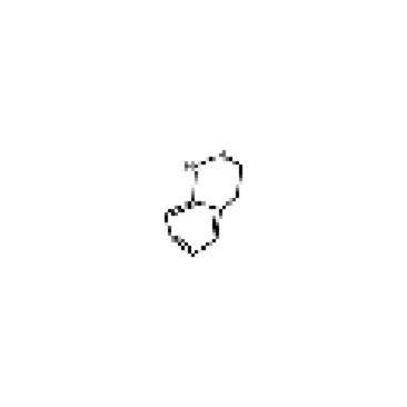 c1ccc2c(c1)CC[N]N2